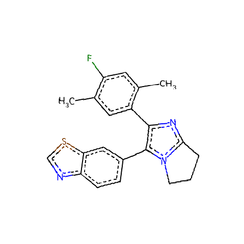 Cc1cc(-c2nc3n(c2-c2ccc4ncsc4c2)CCC3)c(C)cc1F